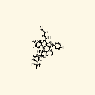 CCN1C(=O)[C@H](NC(=O)c2cccc(C(F)(F)F)c2)[C@H](c2ccc(F)cc2)c2c(C(=O)NCCC#N)nn(-c3ccccc3)c21